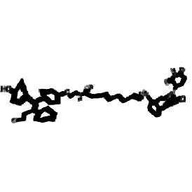 O=C(CCCCCCCNc1cccc2c1CN(C1CCC(=O)NC1=O)C2=O)NCCOc1ccc(C(=C(CCCl)c2ccccc2)c2ccc(O)cc2)cc1